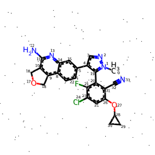 Cn1ncc(-c2ccc3c4c(c(N)nc3c2)COC4)c1-c1c(F)c(Cl)cc(OC2CC2)c1C#N